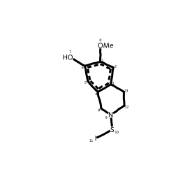 COc1cc2c(cc1O)CN(SI)CC2